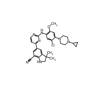 COc1cc(N2CCN(C3CC3)CC2)c(Cl)cc1Nc1nccc(-c2cc(C#N)c3c(c2)C(C)(C)CN3)n1